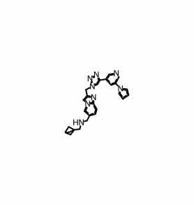 c1ccn(-c2cncc(-c3cn(Cc4cn5cc(CNCC67CC(C6)C7)ccc5n4)nn3)c2)c1